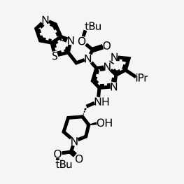 CC(C)c1cnn2c(N(Cc3nc4cnccc4s3)C(=O)OC(C)(C)C)cc(NC[C@H]3CCN(C(=O)OC(C)(C)C)C[C@@H]3O)nc12